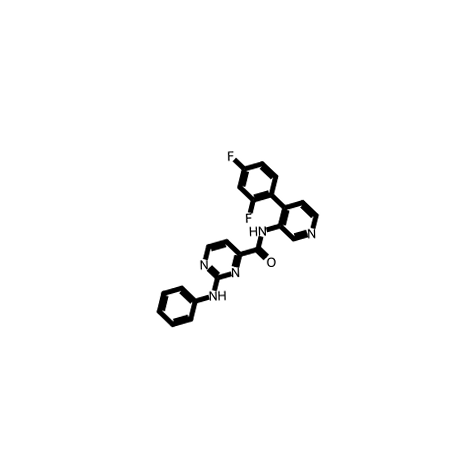 O=C(Nc1cnccc1-c1ccc(F)cc1F)c1ccnc(Nc2ccccc2)n1